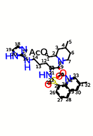 CC(=O)OCC1CC(C)CCN1C(=O)[C@H](CCCNc1ncc[nH]1)NS(=O)(=O)c1cccc2cc(C)cnc12